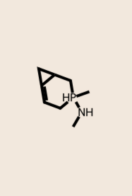 CN[PH]1(C)CC=C2CC2C1